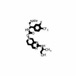 CNC[C@@H](NC(=O)ON1CCc2cnc(N[C@@H](C)CO)nc2C1)c1ccc(C(F)(F)F)c(F)c1